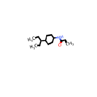 C=CC(=O)NC1CCC(C(CC)CC)CC1